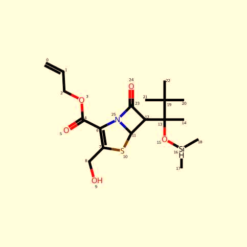 C=CCOC(=O)C1=C(CO)SC2C(C(C)(O[SiH](C)C)C(C)(C)C)C(=O)N12